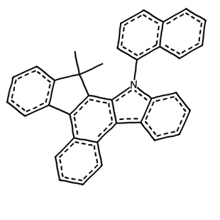 CC1(C)c2ccccc2-c2c1c1c(c3ccccc23)c2ccccc2n1-c1cccc2ccccc12